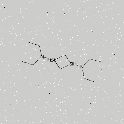 CCN(CC)[SiH]1C[SiH](N(CC)CC)C1